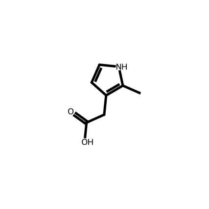 Cc1[nH]ccc1CC(=O)O